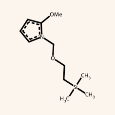 COc1cccn1COCC[Si](C)(C)C